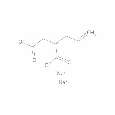 C=CCC(CC(=O)[O-])C(=O)[O-].[Na+].[Na+]